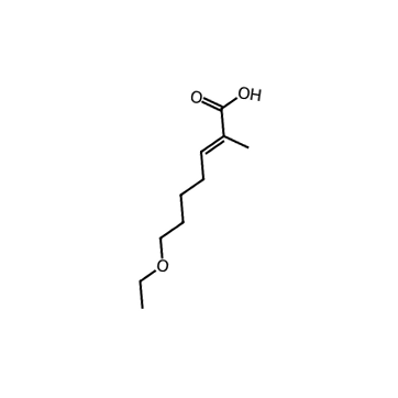 CCOCCCC/C=C(\C)C(=O)O